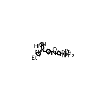 CCCC(N)(CCC)c1ccc(NC(=O)c2ccc(CN(Cc3ccc(CC)cn3)Cc3ncc[nH]3)cc2)cc1